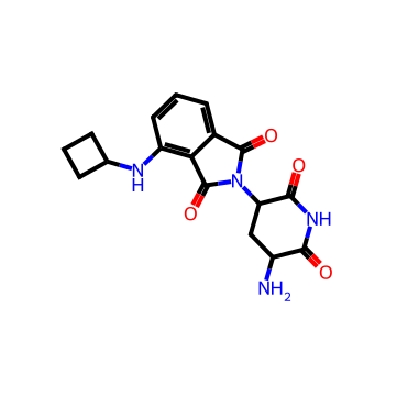 NC1CC(N2C(=O)c3cccc(NC4CCC4)c3C2=O)C(=O)NC1=O